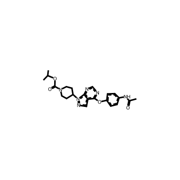 CC(=O)Nc1ccc(Oc2ncnc3c2cnn3C2CCN(C(=O)OC(C)C)CC2)cc1